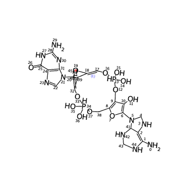 NC1=C2NCN(c3oc4c(c3O)O[PH](O)(O)O/C=C3/OC(n5cnc6c(=O)[nH]c(N)nc65)=C(O[PH](O)(O)OC4)[C@H]3F)C2NCN1